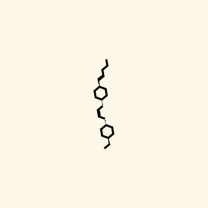 CCC/C=C/[C@H]1CC[C@H](C/C=C\C[C@H]2CC[C@H](CC)CC2)CC1